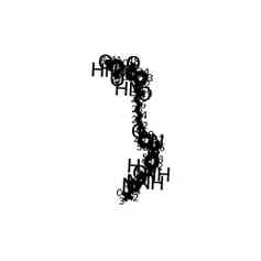 CC(C)(C)c1cc(NC(=O)Nc2ccc(-n3cnc4cc(OCCCCCCC(=O)Nc5cccc6c5CN(C5CCC(=O)NC5=O)C6=O)ccc43)cc2)[nH]n1